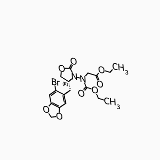 CCOC(=O)CN(C(=O)OCC)N1C(=O)OC[C@H]1Cc1cc2c(cc1Br)OCO2